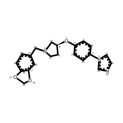 c1cn(-c2ccc(O[C@H]3CCN(Cc4ccc5c(c4)OCO5)C3)cc2)cn1